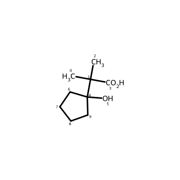 CC(C)(C(=O)O)C1(O)CCCC1